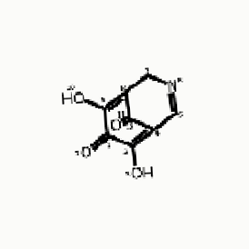 O=C1C(O)=C2C=NCC(=C1O)C2=O